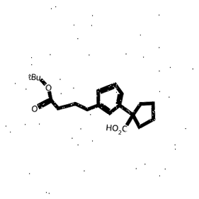 CC(C)(C)OC(=O)CCCc1cccc(C2(C(=O)O)CCCC2)c1